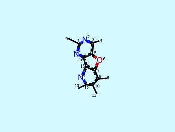 Cc1nc(C)c2oc3c(C)c(C)c(C)nc3c2n1